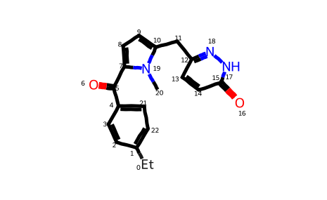 CCc1ccc(C(=O)c2ccc(Cc3ccc(=O)[nH]n3)n2C)cc1